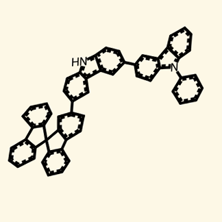 c1ccc(-n2c3ccccc3c3cc(-c4ccc5[nH]c6ccc(-c7ccc8c(c7)C7(c9ccccc9-c9ccccc97)c7ccccc7-8)cc6c5c4)ccc32)cc1